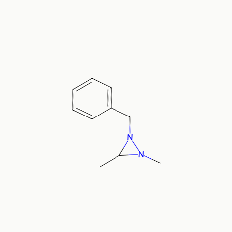 CC1N(C)N1Cc1ccccc1